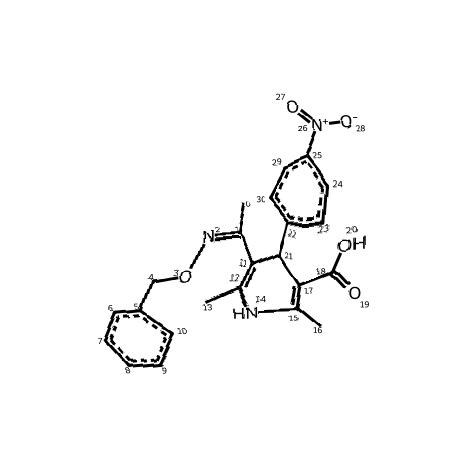 CC(=NOCc1ccccc1)C1=C(C)NC(C)=C(C(=O)O)C1c1ccc([N+](=O)[O-])cc1